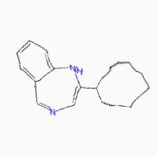 C1=NC=C(C2CCCCCC2)Nc2ccccc21